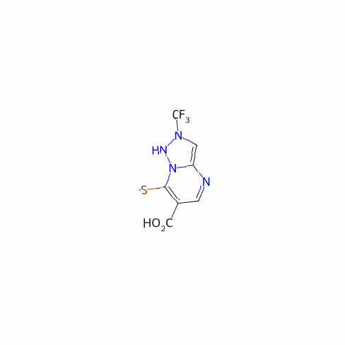 O=C(O)C1=C([S])N2NN(C(F)(F)F)C=C2N=C1